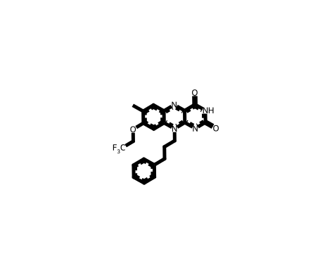 Cc1cc2nc3c(=O)[nH]c(=O)nc-3n(CCCc3ccccc3)c2cc1OCC(F)(F)F